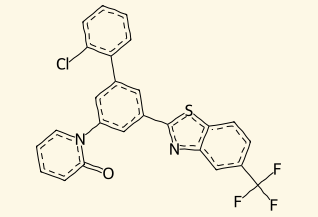 O=c1ccccn1-c1cc(-c2nc3cc(C(F)(F)F)ccc3s2)cc(-c2ccccc2Cl)c1